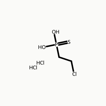 Cl.Cl.OP(O)(=S)CCCl